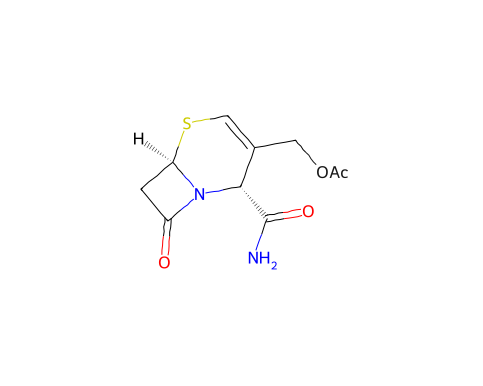 CC(=O)OCC1=CS[C@@H]2CC(=O)N2[C@H]1C(N)=O